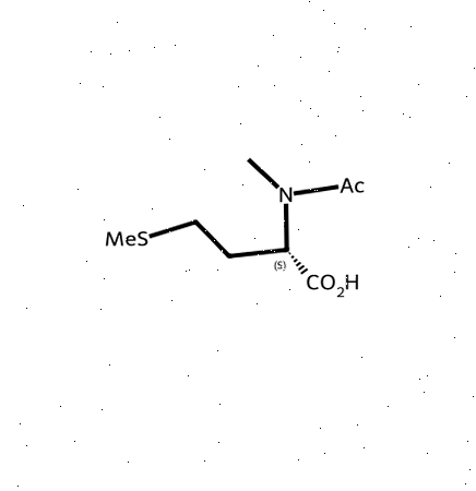 CSCC[C@@H](C(=O)O)N(C)C(C)=O